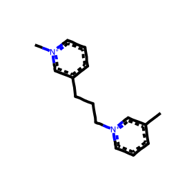 Cc1ccc[n+](CCCc2ccc[n+](C)c2)c1